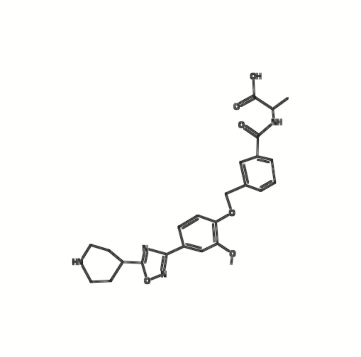 COc1cc(-c2noc(C3CCNCC3)n2)ccc1OCc1cccc(C(=O)NC(C)C(=O)O)c1